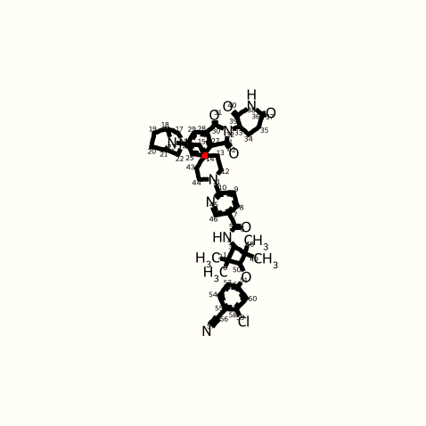 CC1(C)C(NC(=O)c2ccc(N3CCC(CN4CC5CCC(C4)N5c4ccc5c(c4)C(=O)N(C4CCC(=O)NC4=O)C5=O)CC3)nc2)C(C)(C)C1Oc1ccc(C#N)c(Cl)c1